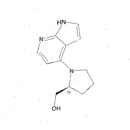 OC[C@@H]1CCCN1c1ccnc2[nH]ccc12